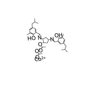 CC(=O)[O-].CC(=O)[O-].Cc1cc(CC(C)C)cc(C=NC2CCC(N=Cc3cc(CC(C)C)cc(C)c3O)C2)c1O.[Co+2]